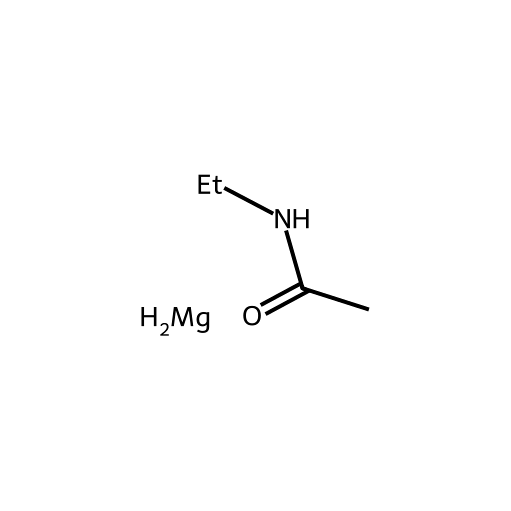 CCNC(C)=O.[MgH2]